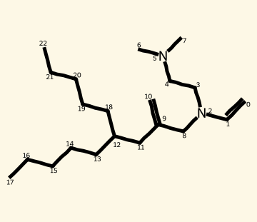 C=CN(CCN(C)C)CC(=C)CC(CCCCC)CCCCC